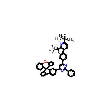 CC(C)(C)c1ccc(-c2ccc(-c3cc(-c4ccc5c(c4)C4(c6ccccc6Oc6ccccc64)c4ccccc4-5)nc(-c4ccccc4)n3)cc2)c(C(C)(C)C)n1